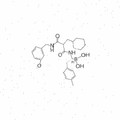 COc1cccc(CNC(=O)C(CC2CCCCC2)C(=O)N[C@@H](Cc2ccc(C)cc2)B(O)O)c1